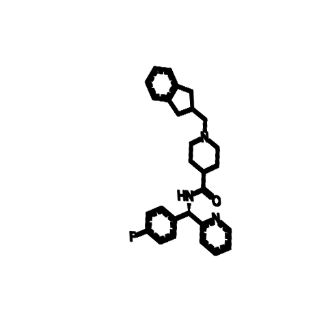 O=C(N[C@@H](c1ccc(F)cc1)c1ccccn1)C1CCN(CC2Cc3ccccc3C2)CC1